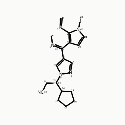 C=Nc1c(/C(=N\C)c2cnn([C@H](CC#N)C3CCCC3)c2)ccn1I